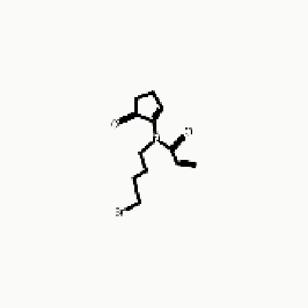 C=CC(=O)N(CCCCBr)C1=CCCC1=O